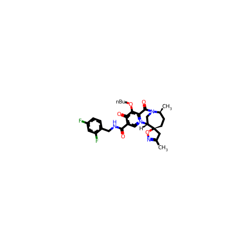 CCCCOc1c2n(cc(C(=O)NCc3ccc(F)cc3F)c1=O)[C@@H]1CN(C2=O)[C@@H](C)CC[C@]12CC(C)=NO2